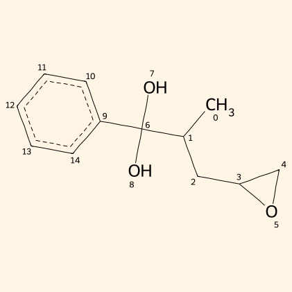 CC(CC1CO1)C(O)(O)c1ccccc1